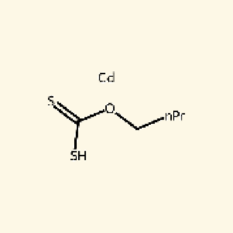 CCCCOC(=S)S.[Cd]